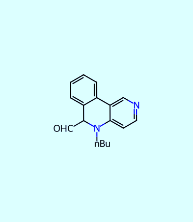 CCCCN1c2ccncc2-c2ccccc2C1C=O